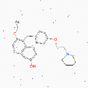 CC(=O)COc1ccc2cc(O)ccc2c1Cc1ccc(OCCN2CCCCC2)cc1